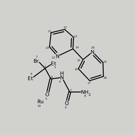 CCC(Br)(CC)C(=O)NC(N)=O.[Ru].c1ccc(-c2ccccn2)nc1